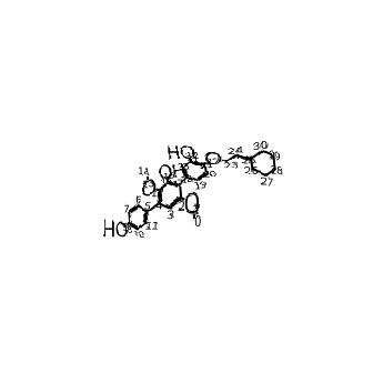 COc1cc(-c2ccc(O)cc2)c(OC)c(O)c1-c1ccc(OCC=C2CCCCC2)c(O)c1